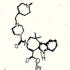 CC(C)OC(=O)C1=CN(C(=O)N2CCN(CC3CCN(C)CC3)CC2)CC(C)(C)c2c1[nH]c1ccccc21